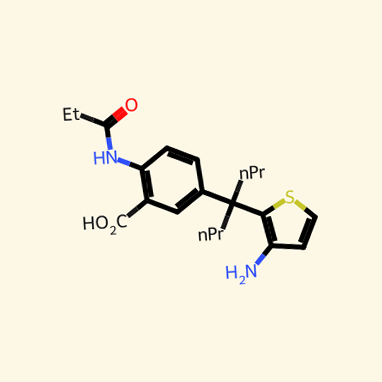 CCCC(CCC)(c1ccc(NC(=O)CC)c(C(=O)O)c1)c1sccc1N